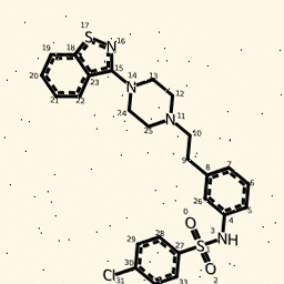 O=S(=O)(Nc1cccc(CCN2CCN(c3nsc4ccccc34)CC2)c1)c1ccc(Cl)cc1